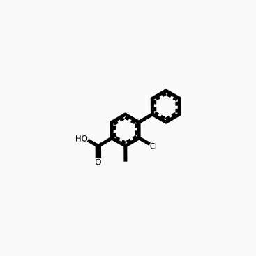 Cc1c(C(=O)O)ccc(-c2ccccc2)c1Cl